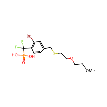 COCCOCCSCc1ccc(C(F)(F)P(=O)(O)O)c(Br)c1